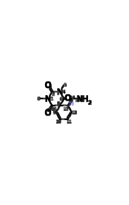 CN1C(=O)N(C)C(=O)C2(C=CC=C/C2=C\N)C1=O